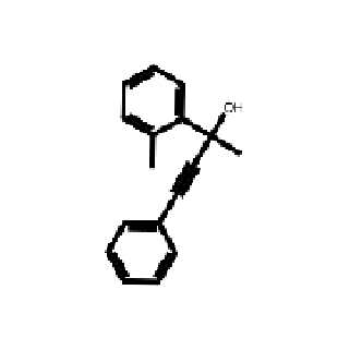 Cc1ccccc1C(C)(O)C#Cc1ccccc1